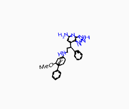 COC1CC2(NCCC(c3ccccc3)c3cc(N)nc4[nH]nnc34)CCC1(c1ccccc1)CC2